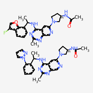 CC(=O)N[C@@H]1CCN(c2cc3c(NC(C)c4cccc5c(F)coc45)nc(C)nc3cn2)C1.CC(=O)N[C@@H]1CCN(c2cc3c(NC(C)c4ccccc4-n4cccn4)nc(C)nc3cn2)C1